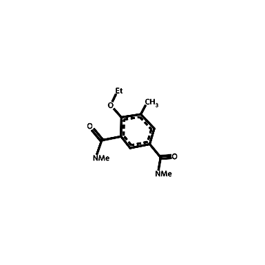 CCOc1c(C)cc(C(=O)NC)cc1C(=O)NC